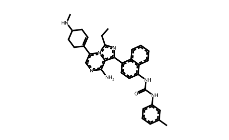 CCc1nc(-c2ccc(NC(=O)Nc3cccc(C)c3)c3ccccc23)c2c(N)ncc(C3=CCC(NC)CC3)n12